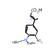 CCCCN(CCCC)c1ccc(/C(C)=C/C(=O)O)cc1[N+](=O)[O-]